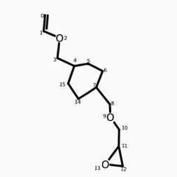 C=COCC1CCC(COCC2CO2)CC1